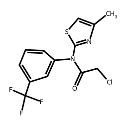 Cc1csc(N(C(=O)CCl)c2cccc(C(F)(F)F)c2)n1